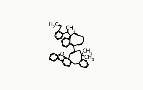 C=Cc1ccccc1C(=C)C1=c2/cccc/c2=C(\C2=C\c3c(ccc4c3oc3ccccc34)Cc3ccccc3C(C)(C)C2)/C=C/CC/C=C/1